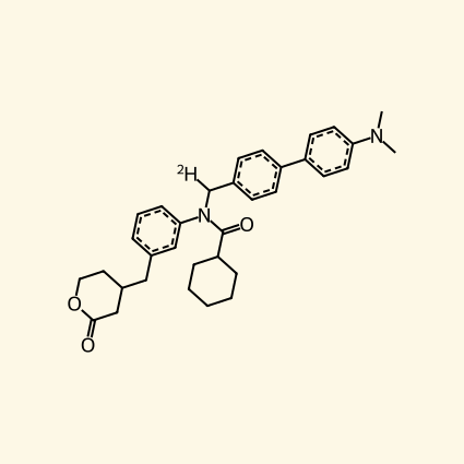 [2H]C(c1ccc(-c2ccc(N(C)C)cc2)cc1)N(C(=O)C1CCCCC1)c1cccc(CC2CCOC(=O)C2)c1